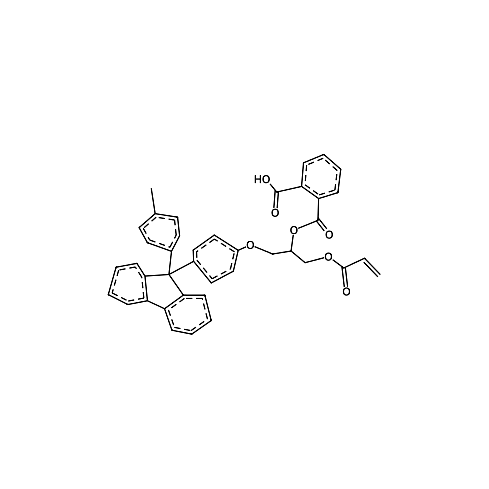 C=CC(=O)OCC(COc1ccc(C2(c3ccc(C)cc3)c3ccccc3-c3ccccc32)cc1)OC(=O)c1ccccc1C(=O)O